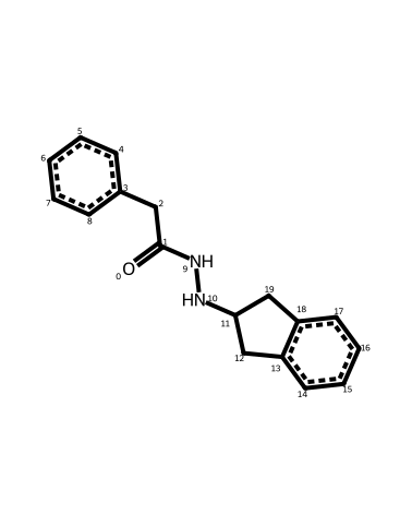 O=C(Cc1ccccc1)NNC1Cc2ccccc2C1